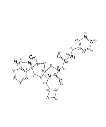 CN(C)C1(c2ccccc2)CCC2(CC1)CN(CC(=O)NCc1ccnnc1)C(=O)N2CC1CCC1